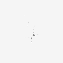 C=C(F)C(=O)N1CC(N)C1